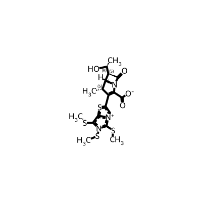 CSc1c2sc(C3=C(C(=O)[O-])N4C(=O)[C@H]([C@@H](C)O)[C@H]4[C@H]3C)c[n+]2c(SC)n1SC